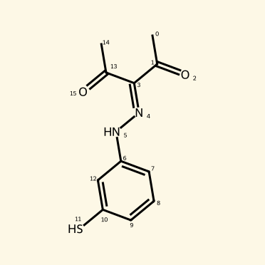 CC(=O)C(=NNc1cccc(S)c1)C(C)=O